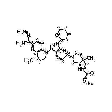 C[C@H]1CCN(c2nn(C3CCCCO3)c3nc(N4CCC(C)(CNC(=O)OC(C)(C)C)CC4)cnc23)c2ccc(/C(N)=N/N)nc21